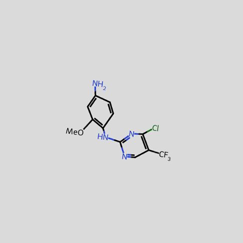 COc1cc(N)ccc1Nc1ncc(C(F)(F)F)c(Cl)n1